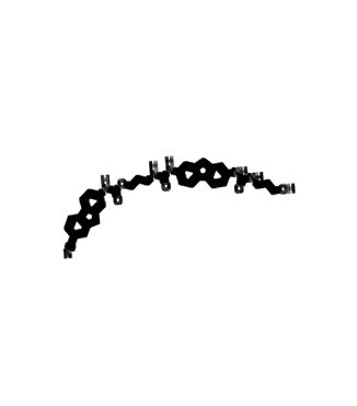 N#Cc1ccc2c(c1)Cc1cc(NC(=O)OCCCNC(=O)Nc3ccc4c(c3)Cc3cc(NC(=O)NCCCO)ccc3-4)ccc1-2